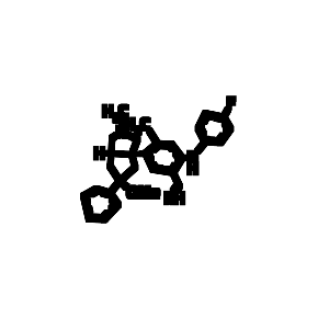 CO[C@@]1(c2ccccc2)C[C@H]2CN(C)C[C@@]2(c2cc(C=N)c(Nc3ccc(F)cc3)cc2C)C1